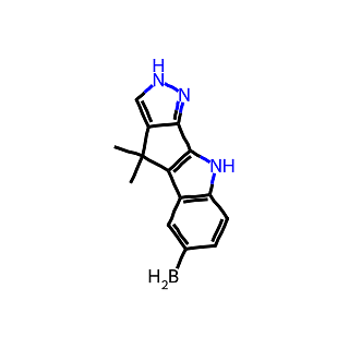 Bc1ccc2[nH]c3c(c2c1)C(C)(C)c1c[nH]nc1-3